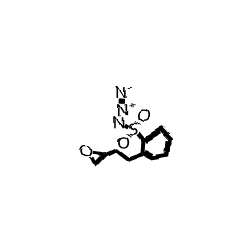 [N-]=[N+]=NS(=O)(=O)c1ccccc1CCC1CO1